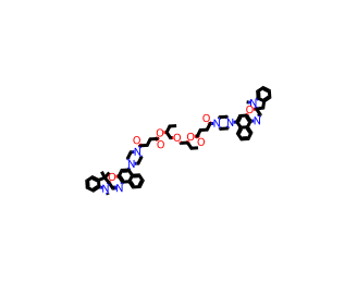 CCC(COCC(CC)OC(=O)CCC(=O)N1CCN(c2cc3c(c4ccccc24)N=CC2(O3)N(C)c3ccccc3C2(C)C)CC1)OC(=O)CCC(=O)N1CCN(c2cc3c(c4ccccc24)N=CC2(Cc4ccccc4N2C)O3)CC1